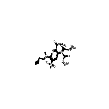 C=CCCN(C)c1nc(C(=O)OC)c(N(C(=O)OC(C)(C)C)C(=O)OC(C)(C)C)cc1S(C)(=O)=O